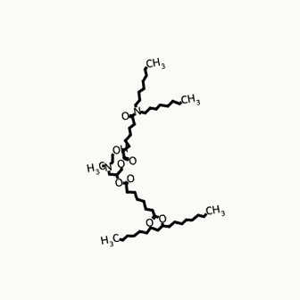 CCCCCCCCC(CCCCCCCC)OC(=O)CCCCCCC(=O)OC(COC(=O)CCCCCCC(=O)N(CCCCCCCC)CCCCCCCC)CN(C)CCO